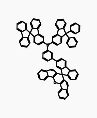 c1ccc(C2(c3ccccc3)c3ccccc3-c3cc(N(c4cccc(-c5ccc6c(c5)C5(c7ccccc7-6)c6ccc7ccccc7c6Oc6c5ccc5ccccc65)c4)c4ccc5c(c4)-c4ccccc4C54c5ccccc5-c5ccccc54)ccc32)cc1